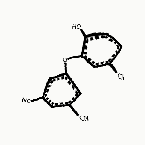 N#Cc1cc(C#N)cc(Oc2cc(Cl)ccc2O)c1